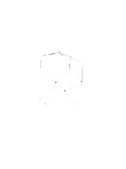 CC12CC3O[C](CC(O3)O1)C2(C)C